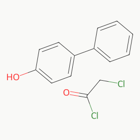 O=C(Cl)CCl.Oc1ccc(-c2ccccc2)cc1